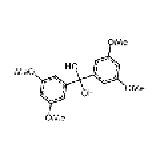 COc1cc(OC)cc(C(O)(O)c2cc(OC)cc(OC)c2)c1